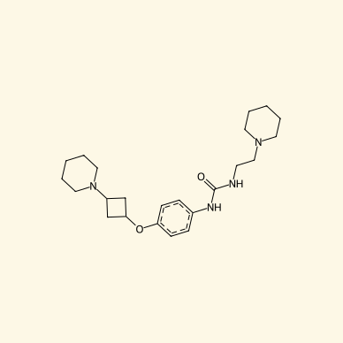 O=C(NCCN1CCCCC1)Nc1ccc(OC2CC(N3CCCCC3)C2)cc1